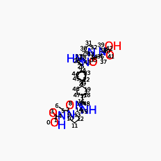 COC(=O)N[C@@H](C)C(=O)N1CCC[C@H]1c1nc(C2=CCC(c3ccc(-c4c[nH]c([C@@H]5CCCN5C(=O)[C@H](C)N(C)C(=O)O)n4)cc3)CC2)c[nH]1